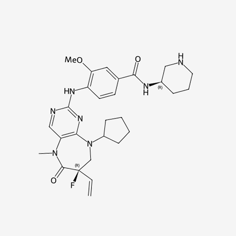 C=C[C@@]1(F)CN(C2CCCC2)c2nc(Nc3ccc(C(=O)N[C@@H]4CCCNC4)cc3OC)ncc2N(C)C1=O